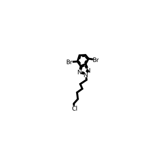 ClCCCCCCn1nc2c(Br)ccc(Br)c2n1